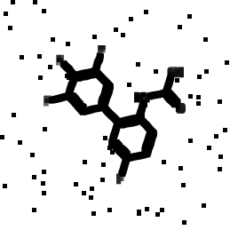 O=C(O)Nc1ccc(F)cc1-c1cc(F)c(F)c(F)c1